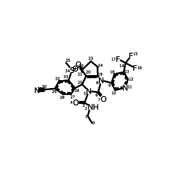 CCNC(=O)N1C(=O)N(c2cncc(C(F)(F)F)c2)C2=C(C(=O)CC2)C1c1ccc(C#N)cc1[S+](C)[O-]